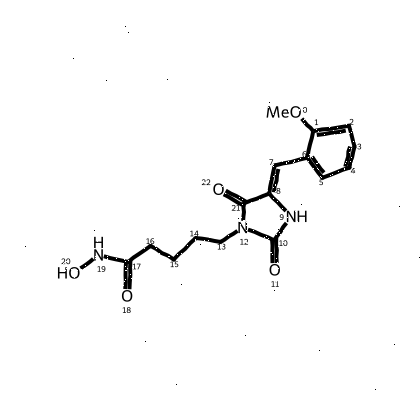 COc1ccccc1/C=C1\NC(=O)N(CCCCC(=O)NO)C1=O